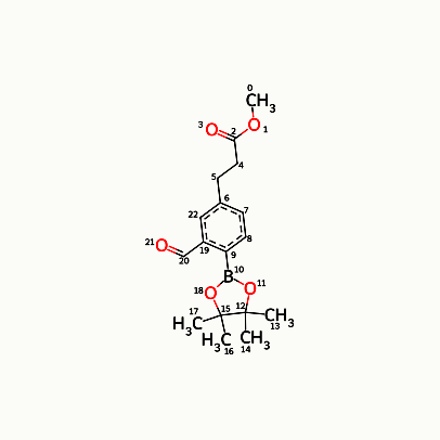 COC(=O)CCc1ccc(B2OC(C)(C)C(C)(C)O2)c(C=O)c1